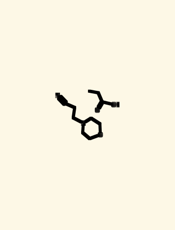 CCC(=O)O.N#CCCN1CCOCC1